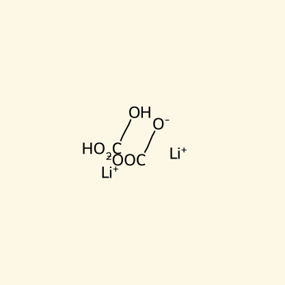 O=C(O)O.O=C([O-])[O-].[Li+].[Li+]